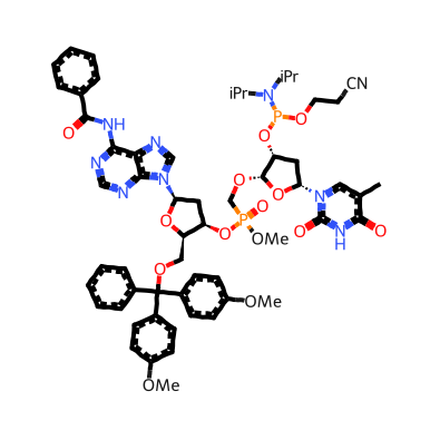 COc1ccc(C(OC[C@H]2O[C@@H](n3cnc4c(NC(=O)c5ccccc5)ncnc43)C[C@H]2OP(=O)(CO[C@H]2O[C@@H](n3cc(C)c(=O)[nH]c3=O)C[C@H]2OP(OCCC#N)N(C(C)C)C(C)C)OC)(c2ccccc2)c2ccc(OC)cc2)cc1